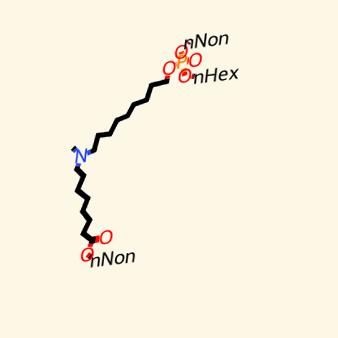 CCCCCCCCCOC(=O)CCCCCCCN(C)CCCCCCCCCOP(=O)(OCCCCCC)OCCCCCCCCC